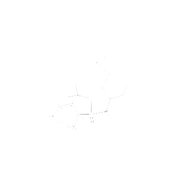 CCCCC(CC)C(=O)P(=O)(OC(C)C)c1ccccc1